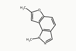 Cc1cc2c(ccc3cnn(C)c32)o1